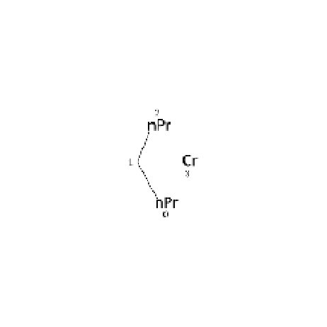 CCCCCCC.[Cr]